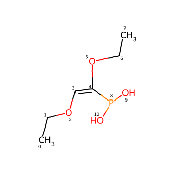 CCOC=C(OCC)P(O)O